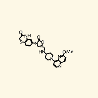 COc1ccc2nccc(N3CCC(NC[C@H]4CN(c5ccc6c(c5)NC(=O)CS6)C(=O)O4)CC3)c2n1